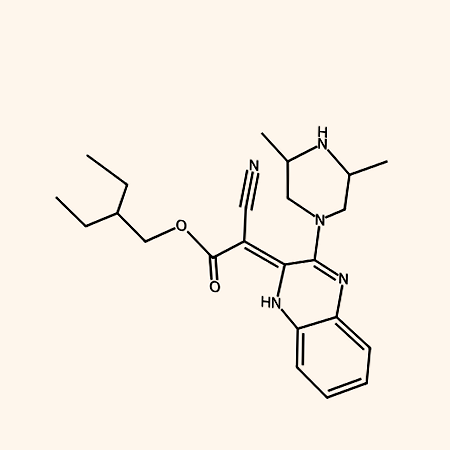 CCC(CC)COC(=O)/C(C#N)=C1\Nc2ccccc2N=C1N1CC(C)NC(C)C1